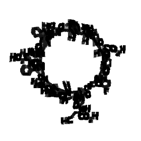 C#CC[C@H](NC(=O)CNC(=O)[C@@H]1CSCC(=O)N[C@@H](Cc2ccc(F)cc2)C(=O)N2CCCC[C@H]2C(=O)N[C@@H](CC(=O)O)C(=O)N2CCC[C@H]2C(=O)N[C@@H](CN)C(=O)N[C@@H](CC(C)C)C(=O)N2C[C@H](O)C[C@H]2C(=O)N[C@@H](Cc2c[nH]c3ccccc23)C(=O)N[C@@H](CCN)C(=O)N[C@@H](Cc2cn(CC(=O)O)c3ccccc23)C(=O)N(C)[C@@H](CCCC)C(=O)N(C)[C@@H](CCCC)C(=O)N[C@@H](CC(C)C)C(=O)N1)C(=O)O